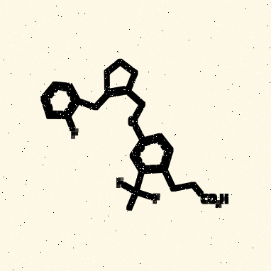 CC(F)(F)c1cc(OCC2=C(Cc3ccccc3F)CCC2)ccc1CCC(=O)O